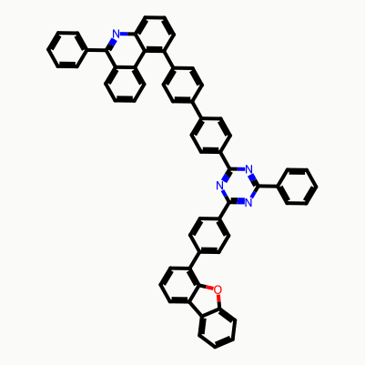 c1ccc(-c2nc(-c3ccc(-c4ccc(-c5cccc6nc(-c7ccccc7)c7ccccc7c56)cc4)cc3)nc(-c3ccc(-c4cccc5c4oc4ccccc45)cc3)n2)cc1